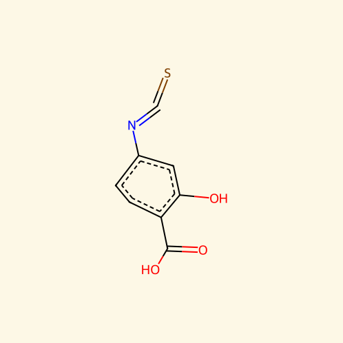 O=C(O)c1ccc(N=C=S)cc1O